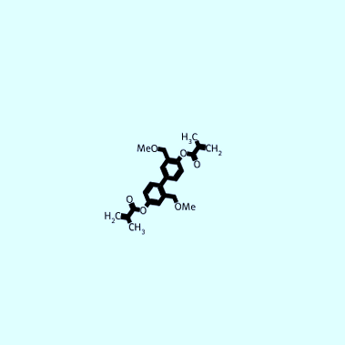 C=C(C)C(=O)Oc1ccc(-c2ccc(OC(=O)C(=C)C)c(COC)c2)c(COC)c1